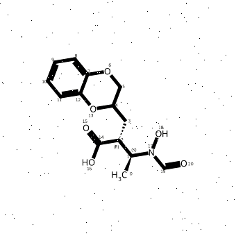 C[C@@H]([C@@H](CC1COc2ccccc2O1)C(=O)O)N(O)C=O